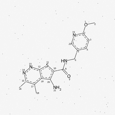 COc1ccc(CNC(=O)c2sc3nnc(C)c(C)c3c2N)cn1